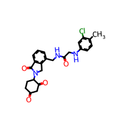 Cc1ccc(NCC(=O)NCc2cccc3c2CN(C2CCC(=O)CC2=O)C3=O)cc1Cl